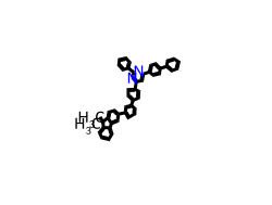 CC1(C)c2ccccc2-c2cc(-c3cccc(-c4ccc(-c5cc(-c6ccc(-c7ccccc7)cc6)nc(-c6ccccc6)n5)cc4)c3)ccc21